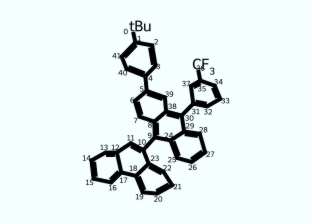 CC(C)(C)c1ccc(-c2ccc3c(-c4cc5ccccc5c5ccccc45)c4ccccc4c(-c4cccc(C(F)(F)F)c4)c3c2)cc1